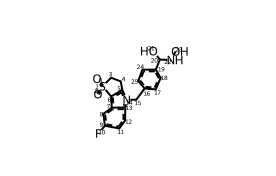 O=S1(=O)CCc2c1c1cc(F)ccc1n2Cc1ccc(C(O)NO)cc1